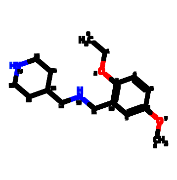 CCOc1ccc(OC)cc1CNCC1CCNCC1